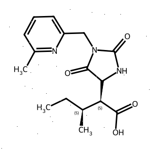 CC[C@H](C)[C@H](C(=O)O)C1NC(=O)N(Cc2cccc(C)n2)C1=O